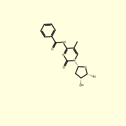 CC[C@H]1O[C@@H](n2cc(C)c(NC(=O)c3ccccc3)nc2=O)C[C@H]1O